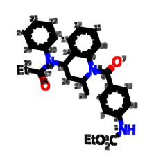 CCOC(=O)Nc1ccc(C(=O)N2c3ccccc3C(N(C(=O)CC)c3ccccc3)CC2C)cc1